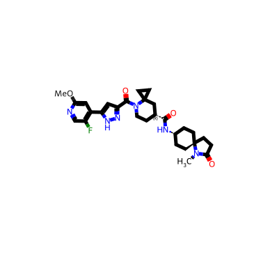 COc1cc(-c2cc(C(=O)N3CC[C@@H](C(=O)N[C@H]4CC[C@]5(CCC(=O)N5C)CC4)CC34CC4)n[nH]2)c(F)cn1